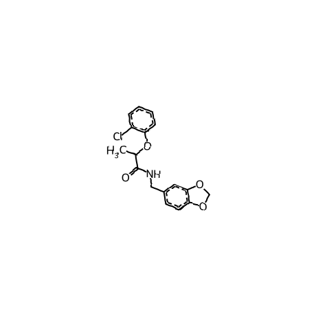 CC(Oc1ccccc1Cl)C(=O)NCc1ccc2c(c1)OCO2